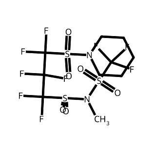 CN(S(=O)(=O)C(F)(F)F)S(=O)(=O)C(F)(F)C(F)(F)C(F)(F)S(=O)(=O)N1CCCCC1